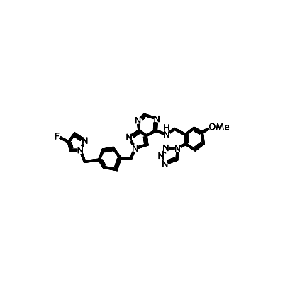 COc1ccc(-n2cnnn2)c(CNc2ncnc3nn(Cc4ccc(Cn5cc(F)cn5)cc4)cc23)c1